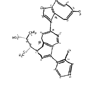 C[C@H]([C@@H](C)C(=O)O)n1cc(-c2ccncc2F)c2cnc(-c3c[nH]c4ncc(Cl)cc34)nc21